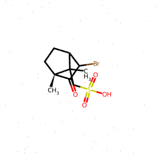 CC1(CS(=O)(=O)O)C2CC[C@@]1(C)C(=O)C2Br